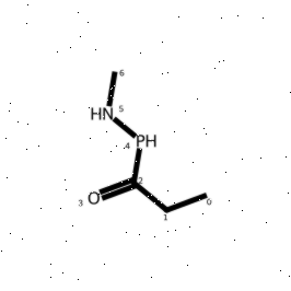 CCC(=O)PNC